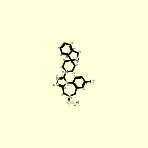 O=C(O)N1Cc2cc(Cl)ccc2-n2c(nnc2N2CCC3(CC2)OCc2ccccc23)C1